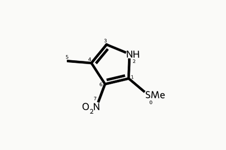 CSc1[nH]cc(C)c1[N+](=O)[O-]